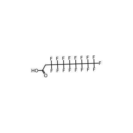 O=C(O)CC(F)(F)C(F)(F)C(F)(F)C(F)(F)C(F)(F)C(F)(F)C(F)(F)C(F)(F)F